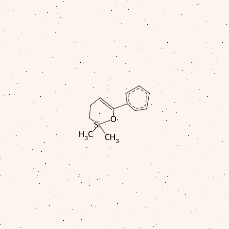 C[Si]1(C)CCC=C(c2ccccc2)O1